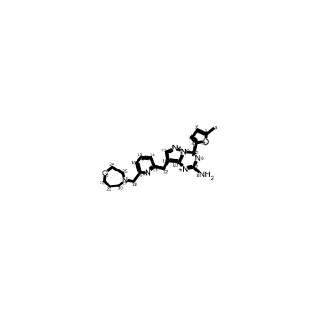 Cc1ccc(-c2nc(N)nc3c(Cc4cccc(CN5CCCOCC5)n4)cnn23)o1